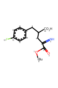 CC(C)(C)OC(=O)C(=N)CC(Cc1ccc(F)cc1)C(=O)O